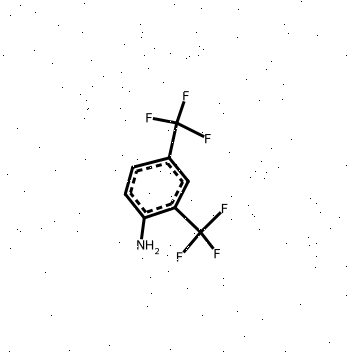 Nc1ccc(C(F)(F)F)cc1C(F)(F)F